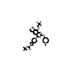 C=Cc1cc2c(N3CCC4(CC3)CN(C(=O)OC(C)(C)C)C4)nc(OC3CCCN(C)CC3)nc2c(OCC(F)(F)F)c1Br